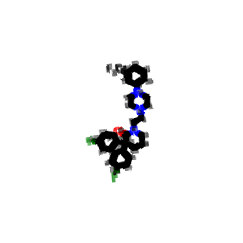 O=C1N(CCN2CCN(c3cccc(C(F)(F)F)c3)CC2)CCCC1(c1ccc(F)cc1)c1ccc(F)cc1